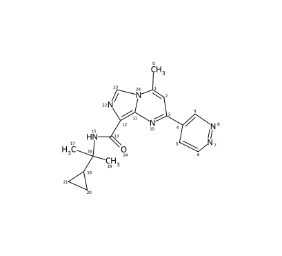 Cc1cc(-c2ccnnc2)nc2c(C(=O)NC(C)(C)C3CC3)ncn12